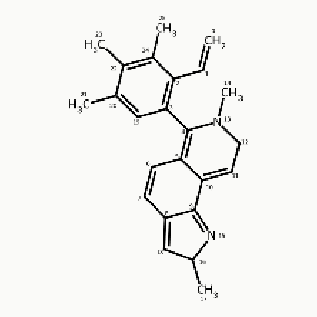 C=Cc1c(C2=c3ccc4c(c3=CCN2C)=NC(C)C=4)cc(C)c(C)c1C